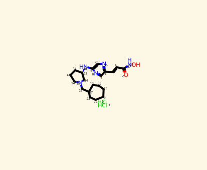 Cl.Cl.O=C(/C=C/c1cnc(N[C@@H]2CCCN(CC3CCCCCC3)C2)cn1)NO